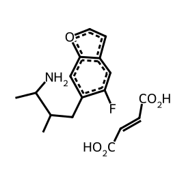 CC(N)C(C)Cc1cc2occc2cc1F.O=C(O)C=CC(=O)O